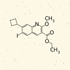 CCOC(=O)c1cc2cc(I)c(C3CCC3)cc2nc1OC